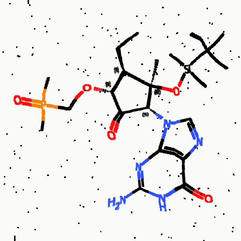 CC[C@@H]1[C@@H](OCP(C)(C)=O)C(=O)[C@@H](n2cnc3c(=O)[nH]c(N)nc32)[C@]1(C)O[Si](C)(C)C(C)(C)C